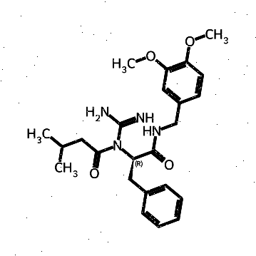 COc1ccc(CNC(=O)[C@@H](Cc2ccccc2)N(C(=N)N)C(=O)CC(C)C)cc1OC